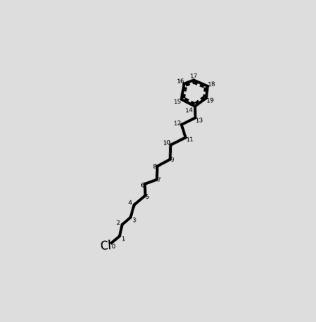 ClCCCCCCCCCCCCCc1ccccc1